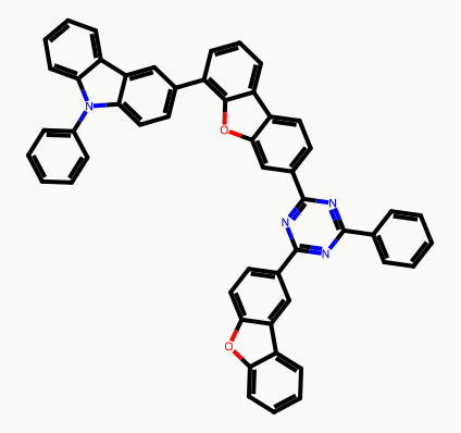 c1ccc(-c2nc(-c3ccc4c(c3)oc3c(-c5ccc6c(c5)c5ccccc5n6-c5ccccc5)cccc34)nc(-c3ccc4oc5ccccc5c4c3)n2)cc1